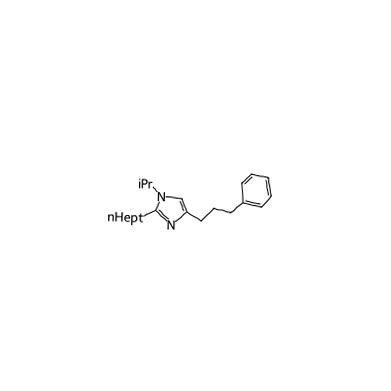 CCCCCCCc1nc(CCCc2ccccc2)cn1C(C)C